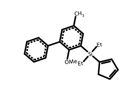 CC[Si](CC)(C1=CC=CC1)c1cc(C)cc(-c2ccccc2)c1OC